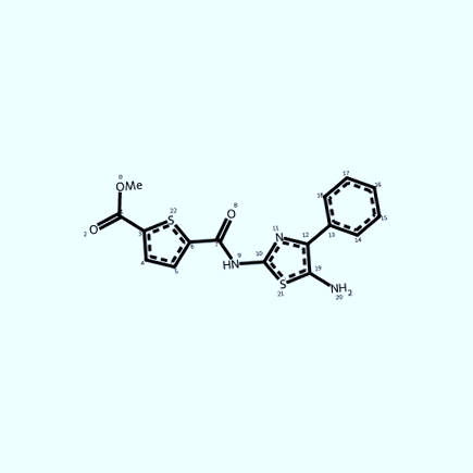 COC(=O)c1ccc(C(=O)Nc2nc(-c3ccccc3)c(N)s2)s1